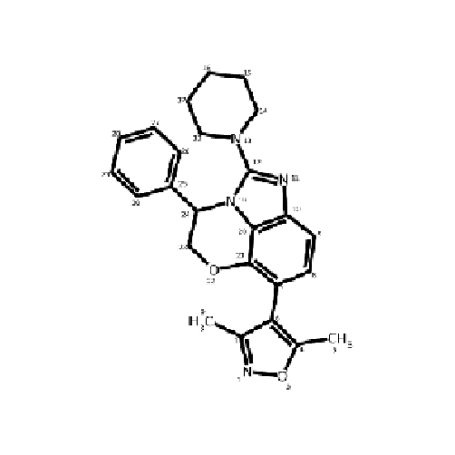 Cc1noc(C)c1-c1ccc2nc(N3CCCCC3)n3c2c1OCC3c1ccccc1